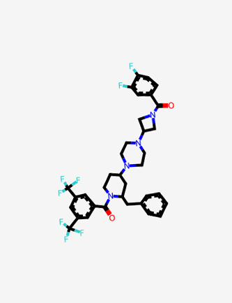 O=C(c1ccc(F)c(F)c1)N1CC(N2CCN(C3CCN(C(=O)c4cc(C(F)(F)F)cc(C(F)(F)F)c4)C(Cc4ccccc4)C3)CC2)C1